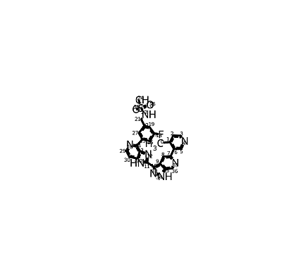 Cc1ccncc1-c1cc2c(-c3nc4c(-c5cc(F)cc(CNS(C)(=O)=O)c5)nccc4[nH]3)n[nH]c2cn1